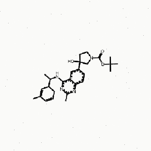 CC1=CC(C(C)Nc2nc(C)nc3ccc(C4(O)CCN(C(=O)OC(C)(C)C)C4)cc23)CC=C1